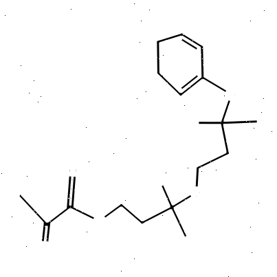 C=C(C)C(=O)OCCC(C)(C)OCCC(C)(C)OC1=CCCC=C1